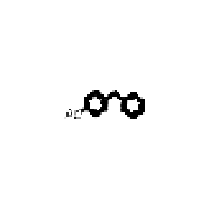 CC(=O)c1ccc([CH]c2ccccc2)cc1